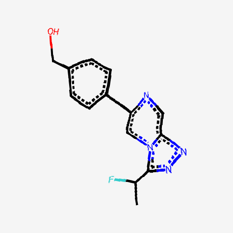 CC(F)c1nnc2cnc(-c3ccc(CO)cc3)cn12